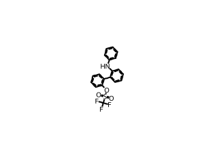 O=S(=O)(Oc1ccccc1-c1ccccc1Nc1ccccc1)C(F)(F)F